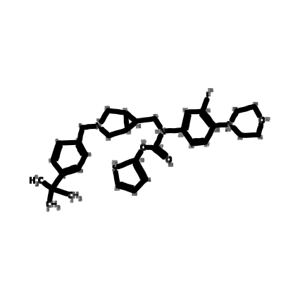 CC(C)(C)c1ccc(CN2CC3C(C2)C3CN(C(=O)Oc2cccs2)c2ccc(N3CCOCC3)c(F)c2)cc1